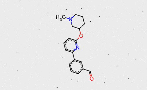 CN1CCCC(Oc2cccc(-c3cccc(C=O)c3)n2)C1